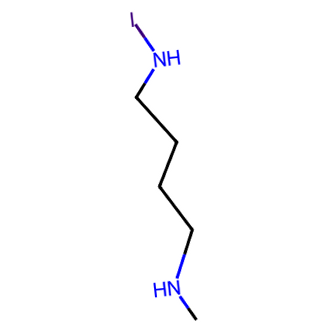 CNCCCCNI